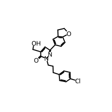 O=c1c(CO)cc(-c2ccc3c(c2)CCO3)nn1CCCc1ccc(Cl)cc1